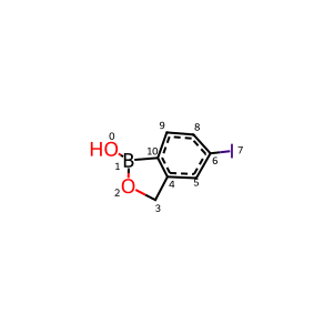 OB1OCc2cc(I)ccc21